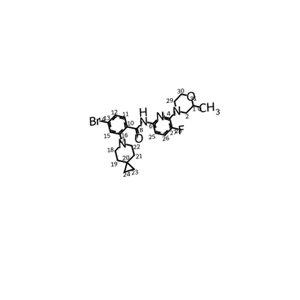 CC1CN(c2nc(NC(=O)c3ccc(Br)cc3N3CCC4(CC3)CC4)ccc2F)CCO1